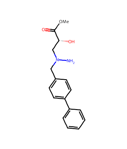 COC(=O)[C@H](O)CN(N)Cc1ccc(-c2ccccc2)cc1